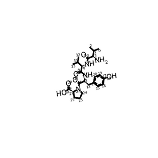 CC(C)[C@H](N)C(=O)N[C@H](C(=O)N[C@@H](Cc1ccc(O)cc1)C(=O)N1CCC[C@H]1C(=O)O)C(C)C